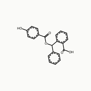 O=C(OC(c1ccccc1)c1ccccc1C(=O)O)c1ccc(O)cc1